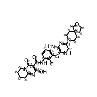 NC1=C(Sc2cccc(NC(=O)c3c(O)nc4n(c3=O)CCCC4)c2Cl)NCC(N2CCC3(CCOC3)CC2)=N1